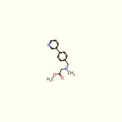 COC(=O)CN(C)Cc1ccc(-c2c[c]cnc2)cc1